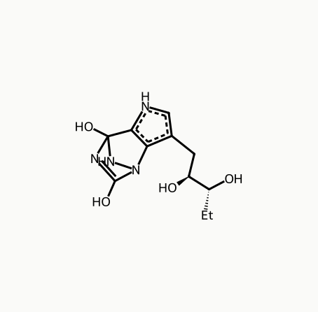 CC[C@@H](O)[C@@H](O)Cc1c[nH]c2c1N1NC2(O)N=C1O